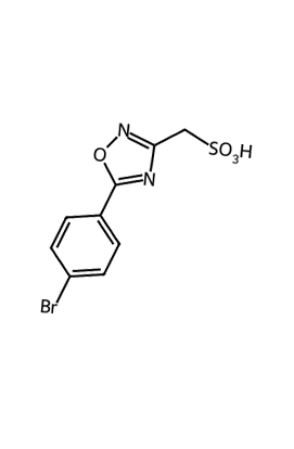 O=S(=O)(O)Cc1noc(-c2ccc(Br)cc2)n1